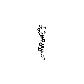 Cc1c(Nc2nccn3c(CC4CC[C@H](O)C4)cnc23)cccc1-c1cccc(-c2nc3cc(CN4CC[C@H](C(=O)O)C4)cc(C#N)c3o2)c1C